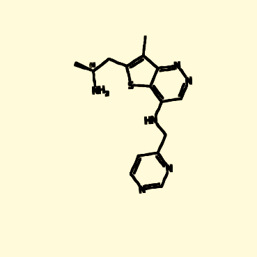 Cc1c(C[C@H](C)N)sc2c(NCc3ccncn3)cnnc12